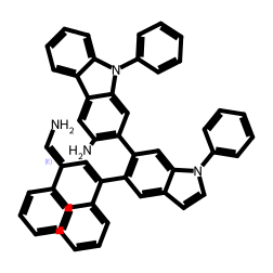 N/C=C(\C=C(c1ccccc1)c1cc2ccn(-c3ccccc3)c2cc1-c1cc2c(cc1N)c1ccccc1n2-c1ccccc1)c1ccccc1